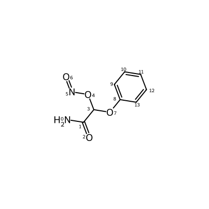 NC(=O)C(ON=O)Oc1ccccc1